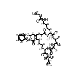 CCCCCCCCCCCCCCCC(=O)N[C@@H](CCCCNC(=O)OC(C)(C)C)C(=O)N[C@@H](C)C(=O)N[C@@H](C)C(=O)N[C@H](CCCCNC(=O)OCc1ccccc1)C(=O)NS(=O)(=O)C1CC1